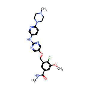 CNC(=O)c1cc(COc2cnc(Nc3ccc(N4CCN(C)CC4)nc3)nc2)c(Cl)c(OC)c1